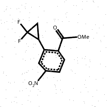 COC(=O)c1ccc([N+](=O)[O-])cc1C1CC1(F)F